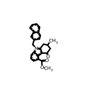 COC(=O)c1cccc2c1c1c(n2Cc2ccc3ccccc3c2)CC(C)CC1=O